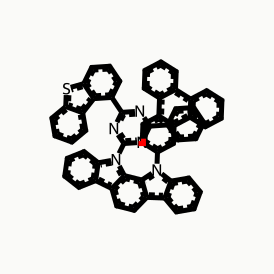 c1ccc(-c2nc(-c3cccc4sc5ccccc5c34)nc(-n3c4ccccc4c4ccc5c6ccccc6n(-c6ccc7c8ccccc8c8ccccc8c7c6)c5c43)n2)cc1